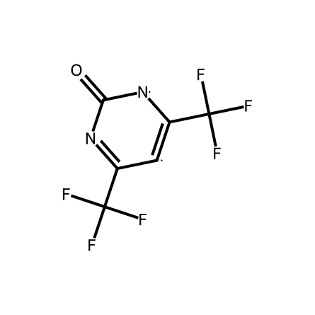 O=C1[N]C(C(F)(F)F)=[C]C(C(F)(F)F)=N1